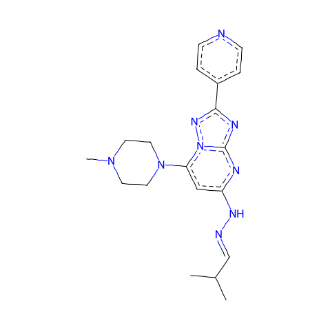 CC(C)/C=N/Nc1cc(N2CCN(C)CC2)n2nc(-c3ccncc3)nc2n1